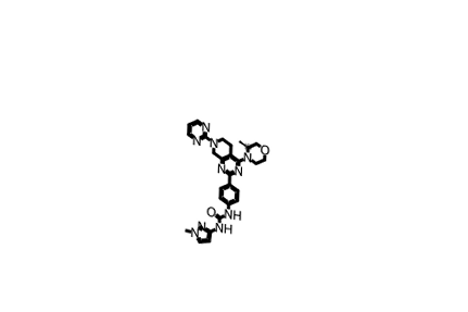 C[C@H]1COCCN1c1nc(-c2ccc(NC(=O)Nc3ccn(C)n3)cc2)nc2c1CCN(c1ncccn1)C2